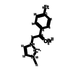 CCc1ccc(C(=O)CN2[C+]N(C)C=C2)cc1.[Br-]